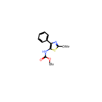 COc1nc(-c2ccccc2)c(NC(=O)OC(C)(C)C)s1